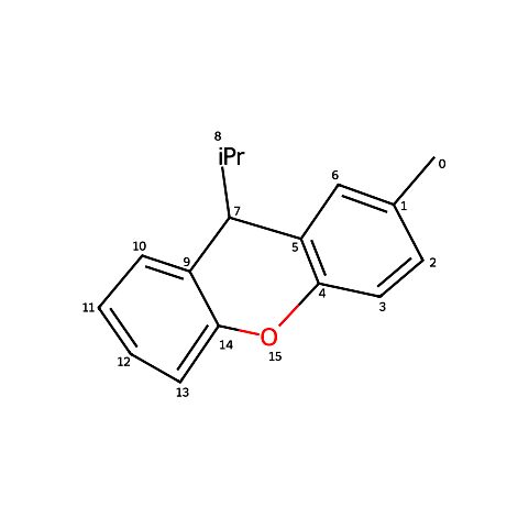 Cc1ccc2c(c1)C(C(C)C)c1ccccc1O2